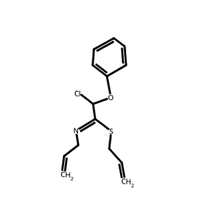 C=CCN=C(SCC=C)C(Cl)Oc1ccccc1